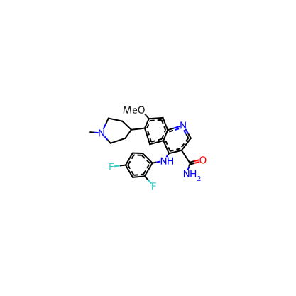 COc1cc2ncc(C(N)=O)c(Nc3ccc(F)cc3F)c2cc1C1CCN(C)CC1